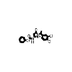 CC(c1ccc(Cl)c(Cl)c1)n1[nH]c(NC(=O)Oc2ccccc2)cc1=O